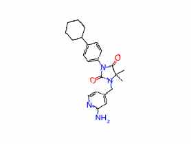 CC1(C)C(=O)N(c2ccc(C3CCCCC3)cc2)C(=O)N1Cc1ccnc(N)c1